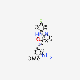 COc1ccc(/C=C/C(=O)c2cccnc2Nc2ccc(F)cc2)cc1N